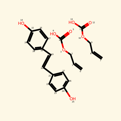 C=CCOC(=O)O.C=CCOC(=O)O.Oc1ccc(C=Cc2ccc(O)cc2)cc1